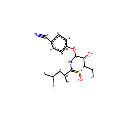 CCCC(O)C(NC(=S=O)C(C)CC(C)F)Oc1ccc(C#N)cc1